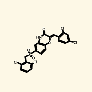 O=C1Nc2cc(S(=O)(=O)Cc3c(Cl)cccc3Cl)ccc2SC1=Cc1ccc(Cl)cc1Cl